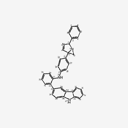 C1=NC(c2ccccc2)N2CC12c1ccc(Nc2ccccc2-c2ccc3[nH]c4ccccc4c3c2)cc1